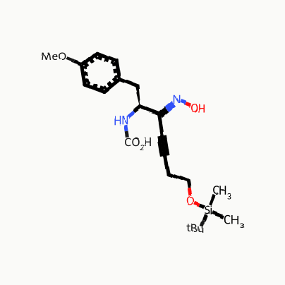 COc1ccc(C[C@H](NC(=O)O)C(C#CCCO[Si](C)(C)C(C)(C)C)=NO)cc1